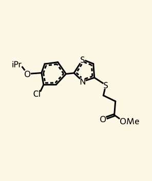 COC(=O)CCSc1csc(-c2ccc(OC(C)C)c(Cl)c2)n1